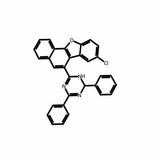 Clc1ccc2oc3c4ccccc4cc(C4=NC(c5ccccc5)=NC(c5ccccc5)N4)c3c2c1